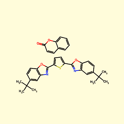 CC(C)(C)c1ccc2oc(-c3ccc(-c4nc5cc(C(C)(C)C)ccc5o4)s3)nc2c1.O=c1ccc2ccccc2o1